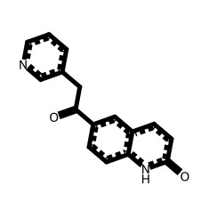 O=C(Cc1cccnc1)c1ccc2[nH]c(=O)ccc2c1